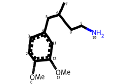 COc1ccc(CC(C)CCN)cc1OC